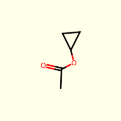 CC(=O)OC1CC1